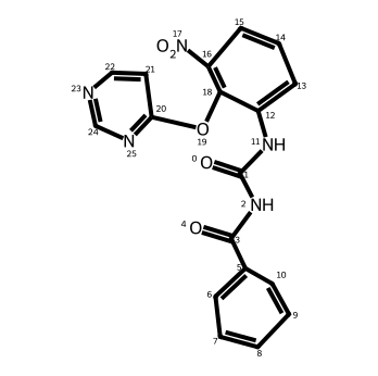 O=C(NC(=O)c1ccccc1)Nc1cccc([N+](=O)[O-])c1Oc1ccncn1